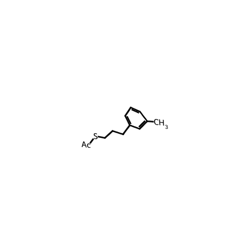 CC(=O)SCCCc1cccc(C)c1